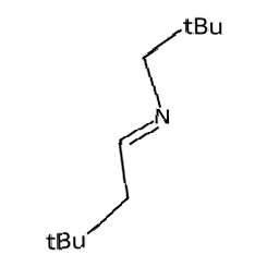 CC(C)(C)C/C=N/CC(C)(C)C